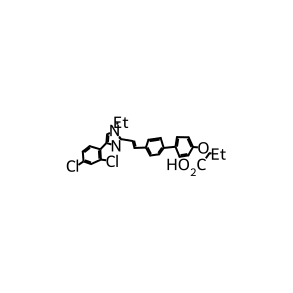 CCC(Oc1ccc(-c2ccc(C=Cc3nc(-c4ccc(Cl)cc4Cl)cn3CC)cc2)cc1)C(=O)O